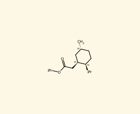 CC(C)OC(=O)C[C@H]1C[C@H](C)CC[C@H]1C(C)C